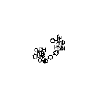 CCN(CC)[C@@H](C(=O)N1CCC[C@H]1c1ncc(-c2ccc(-c3ccc(-n4ccnc4[C@@H]4CCCN4C(=O)[C@H]4CCCC[C@H]4NC(=O)O)cc3)cc2)[nH]1)c1ccccc1